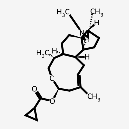 C/C1=C\C[C@@H]2[C@H](CC[C@]34CN(C)[C@@H](C)[C@H]3CC[C@@H]24)[C@@H](C)CC[C@H](OC(=O)C2CC2)C1